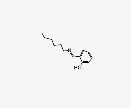 CCCCCCN=Cc1ccccc1O